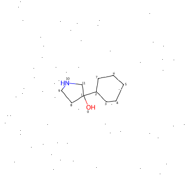 OC1(C2CCCCC2)CCNC1